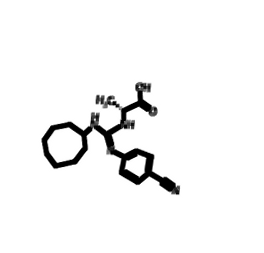 C[C@@H](NC(=Nc1ccc(C#N)cc1)NC1CCCCCCC1)C(=O)O